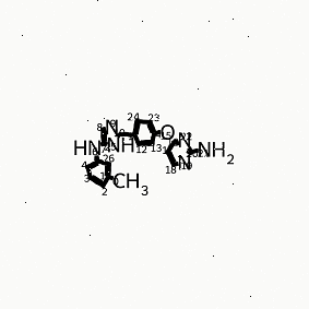 Cc1cccc(Nc2cnc(-c3ccc(Oc4ccnc(N)n4)cc3)[nH]2)c1